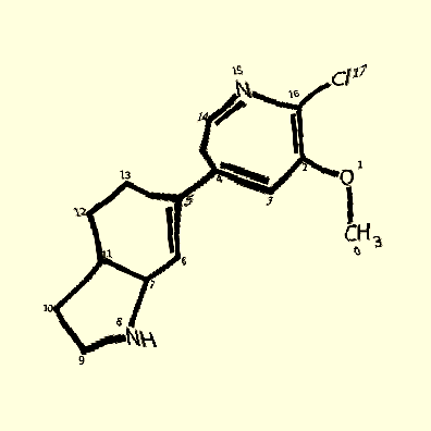 COc1cc(C2=CC3NCCC3CC2)cnc1Cl